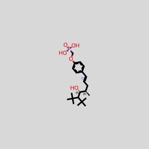 C[C@H](C/C=C/c1ccc(OCP(=O)(O)O)cc1)[C@@H](O)C(C(C)(C)C)C(C)(C)C